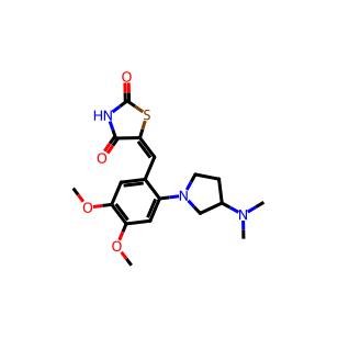 COc1cc(C=C2SC(=O)NC2=O)c(N2CCC(N(C)C)C2)cc1OC